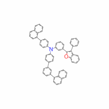 c1ccc(-c2c(-c3cccc(N(c4ccc(-c5cccc(-c6cccc7ccccc67)c5)cc4)c4ccc(-c5cccc6ccccc56)cc4)c3)oc3ccccc23)cc1